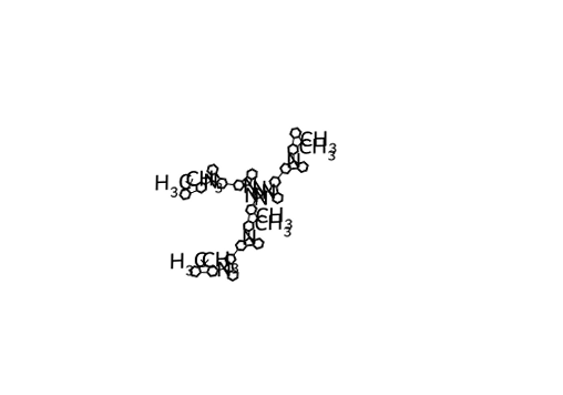 CC1(C)c2ccccc2-c2ccc(-n3c4ccccc4c4cc(-c5ccc6c(c5)c5ccccc5n6-c5ccc6c(c5)C(C)(C)c5cc(-c7nc(-n8c9ccccc9c9cc(-c%10ccc%11c(c%10)c%10ccccc%10n%11-c%10ccc%11c(c%10)C(C)(C)c%10ccccc%10-%11)ccc98)nc(-n8c9ccccc9c9cc(-c%10ccc%11c(c%10)c%10ccccc%10n%11-c%10ccc%11c(c%10)C(C)(C)c%10ccccc%10-%11)ccc98)n7)ccc5-6)ccc43)cc21